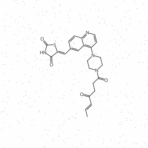 C/C=C/C(=O)CCC(=O)N1CCN(c2ccnc3ccc(/C=C4\SC(=O)NC4=O)cc23)CC1